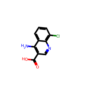 Nc1c(C(=O)O)cnc2c(Cl)cccc12